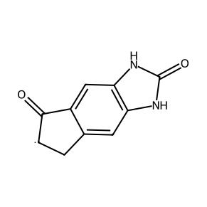 O=C1[CH]Cc2cc3[nH]c(=O)[nH]c3cc21